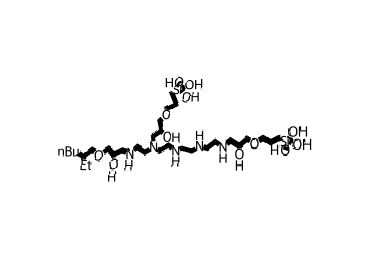 CCCCC(CC)COCC(O)CNCCN(CCNCCNCCNCC(O)COCCC[Si](O)(O)O)CC(O)COCCC[Si](O)(O)O